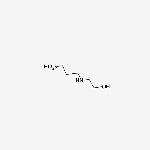 O=S(=O)(O)CCCNCCO